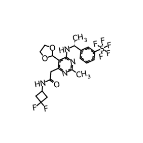 Cc1nc(CC(=O)NC2CC(F)(F)C2)c(C2OCCO2)c(N[C@H](C)c2cccc(S(F)(F)(F)(F)F)c2)n1